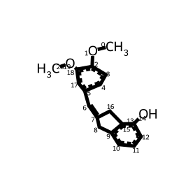 COc1ccc(C=C2Cc3cccc(O)c3C2)cc1OC